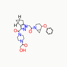 O=C(CO)N1CCN(C(=O)c2nn(CC(=O)N3CCC(Oc4ccccc4)C4CC43)c3c2[C@@H]2C[C@@H]2C3)CC1